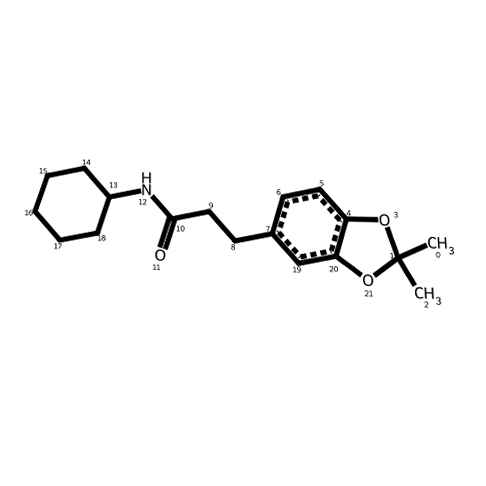 CC1(C)Oc2ccc(CCC(=O)NC3CCCCC3)cc2O1